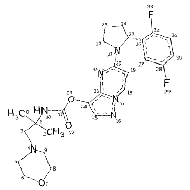 CC(C)(CN1CCOCC1)NC(=O)Oc1cnn2ccc(N3CCC[C@@H]3c3cc(F)ccc3F)nc12